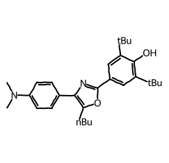 CCCCc1oc(-c2cc(C(C)(C)C)c(O)c(C(C)(C)C)c2)nc1-c1ccc(N(C)C)cc1